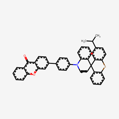 CC(C)c1ccc2c(c1)C1(c3ccccc3S2)c2ccccc2N(c2ccc(-c3ccc4c(=O)c5ccccc5oc4c3)cc2)c2ccccc21